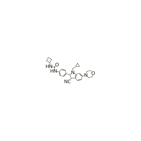 N#CC1c2ccc(N3CCOCC3)cc2N(CC2CC2)C1c1ccc(NC(=O)NC2CCC2)cc1